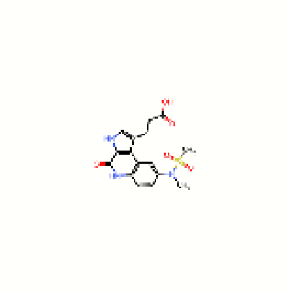 CN(c1ccc2[nH]c(=O)c3[nH]cc(CCC(=O)O)c3c2c1)S(C)(=O)=O